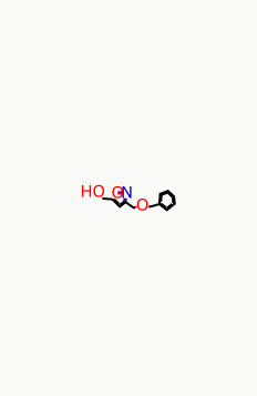 OCc1cc(COCc2ccccc2)no1